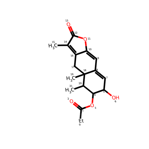 CCC(=O)OC1C(O)C=C2C=C3OC(=O)C(C)=C3CC2(C)C1C